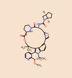 CCn1c(-c2cccnc2[C@H](C)OC)c2c3cc(ccc31)-c1csc(n1)C[C@H](NC(=O)N1C[C@H]3CCC[C@H]31)C(=O)N1CCC[C@H](N1)C(=O)OCC(C)(C)C2